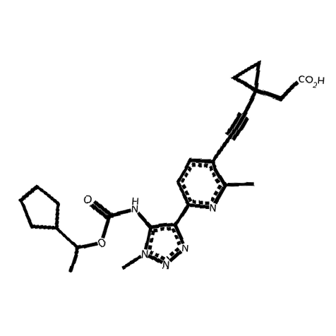 Cc1nc(-c2nnn(C)c2NC(=O)OC(C)C2CCCC2)ccc1C#CC1(CC(=O)O)CC1